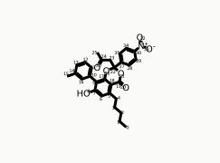 CCCCCc1cc(O)c(-c2cccc(C)c2)c2c1C(=O)OC(CC(C)=O)(c1ccc([N+](=O)[O-])cc1)O2